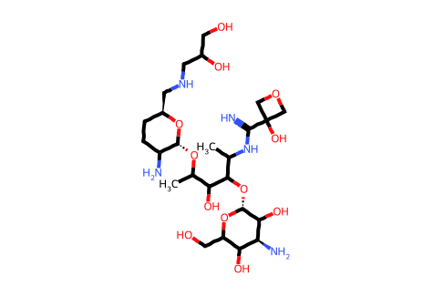 CC(NC(=N)C1(O)COC1)C(O[C@H]1OC(CO)C(O)[C@H](N)C1O)C(O)C(C)O[C@H]1O[C@H](CNCC(O)CO)CCC1N